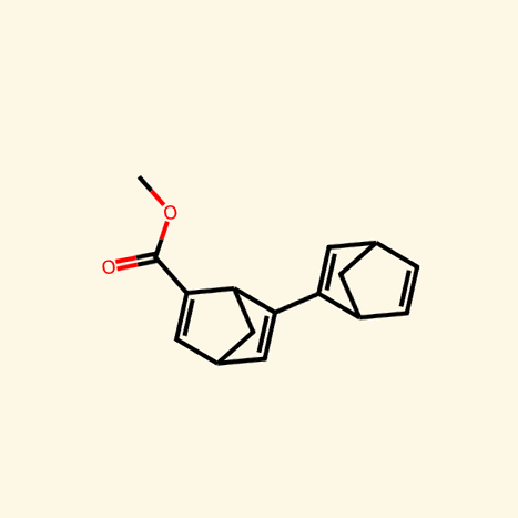 COC(=O)C1=CC2C=C(C3=CC4C=CC3C4)C1C2